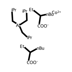 CC(C)[CH2][Al]([CH2]C(C)C)[CH2]C(C)C.CCCCC(CC)C(=O)[O-].CCCCC(CC)C(=O)[O-].[Co+2]